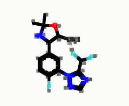 CC1(C)NC(c2ccc(F)c(-n3ncnc3C(F)F)c2)C(C(=O)O)O1